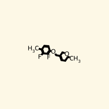 Cc1ccc(OCC2=CCC(C)OC2)c(F)c1F